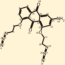 [N-]=[N+]=NCCOc1cccc2c1C(=O)c1c(OCCN=[N+]=[N-])cc(N)cc1C2=O